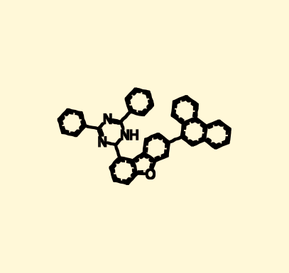 c1ccc(C2=NC(c3cccc4oc5cc(-c6cc7ccccc7c7ccccc67)ccc5c34)NC(c3ccccc3)=N2)cc1